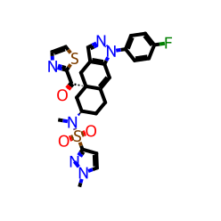 CN([C@H]1CCC2=Cc3c(cnn3-c3ccc(F)cc3)C[C@]2(C(=O)c2nccs2)C1)S(=O)(=O)c1ccn(C)n1